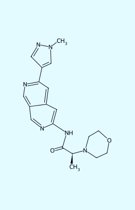 C[C@@H](C(=O)Nc1cc2cc(-c3cnn(C)c3)ncc2cn1)N1CCOCC1